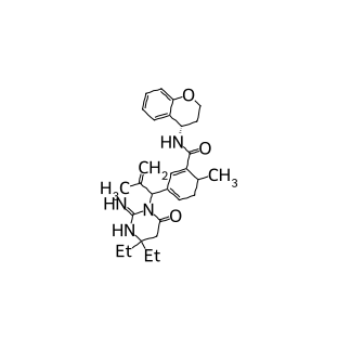 C=C(C)C(C1=CCC(C)C(C(=O)N[C@H]2CCOc3ccccc32)=C1)N1C(=N)NC(CC)(CC)CC1=O